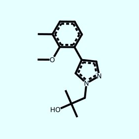 COc1c(C)cccc1-c1cnn(CC(C)(C)O)c1